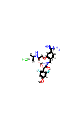 COc1cc(F)c([C@H](OC)C(=O)NCc2ccc(C(=N)N)cc2OCC(=O)NC(C)C)c(F)c1.Cl